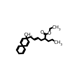 CCCC(C/C=C/CC1(C)C=CC2(C=CCC=C2)C=C1)C(=O)OCC